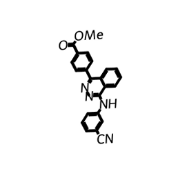 COC(=O)c1ccc(-c2nnc(Nc3cccc(C#N)c3)c3ccccc23)cc1